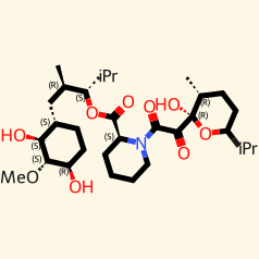 CO[C@@H]1[C@@H](O)[C@H](C[C@@H](C)[C@@H](OC(=O)[C@@H]2CCCCN2C(=O)C(=O)[C@]2(O)OC(C(C)C)CC[C@H]2C)C(C)C)CC[C@H]1O